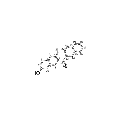 OC1C=Cc2cc3c(cc2=C1)C(=S)c1cc2ccccc2cc1C=3